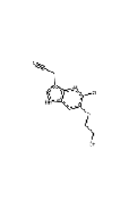 N#CCc1c[nH]c2cc(OCCO)c(Cl)nc12